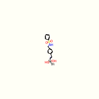 CC(C)[Si](O)(O)/C=C/c1ccc(CNS(=O)(=O)c2ccccc2)cc1